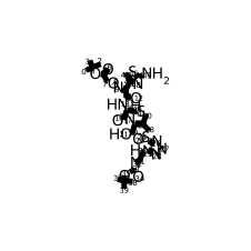 CC(C)(C)OC(=O)CON=C(C(=O)NC1C(=O)N2C(C(=O)O)=C(CSc3nnnn3CCNC(=O)OC(C)(C)C)CS[C@@H]12)c1csc(N)n1